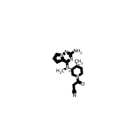 C[C@@H]1CCN(C(=O)CC#N)C[C@@H]1N(C)c1nc(N)nn2cccc12